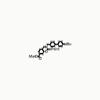 CCCCCC(=O)N(Cc1ccc(C(=O)OC)cc1)Cc1ccc(-c2ccc(CCCC)cc2)cc1